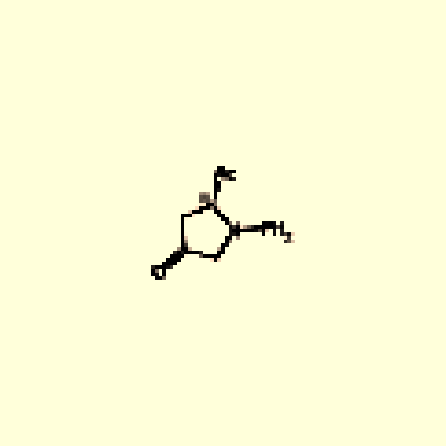 CC(=O)[C@@H]1CC(=O)CN1P